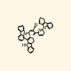 C=C(C1=NC(n2c3c(c4ccccc42)CCC=C3)CC=C1)/C(C#N)=C\C(C)n1c2ccccc2c2cccc(C3=CCCc4c3[nH]c3ccccc43)c21